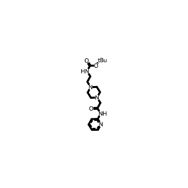 CC(C)(C)OC(=O)NCCN1CCN(CC(=O)Nc2ccccn2)CC1